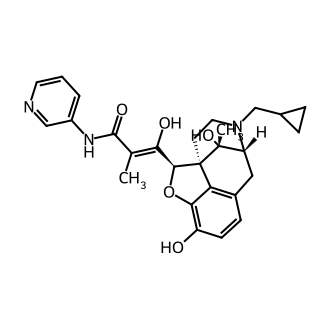 C/C(C(=O)Nc1cccnc1)=C(/O)[C@@H]1Oc2c(O)ccc3c2[C@@]12CCN(CC1CC1)[C@H](C3)[C@@]2(C)O